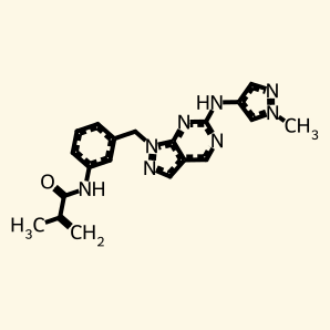 C=C(C)C(=O)Nc1cccc(Cn2ncc3cnc(Nc4cnn(C)c4)nc32)c1